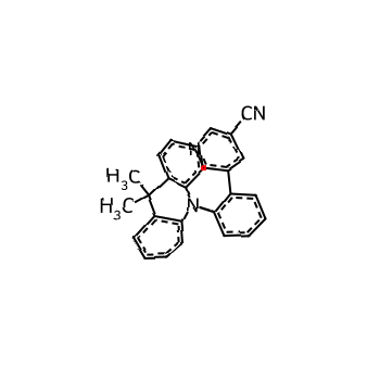 CC1(C)c2ccccc2N(c2ccccc2-c2cncc(C#N)c2)c2ccccc21